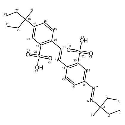 CCC(C)(CC)N=Nc1ccc(C=Cc2ccc(C(C)(CC)CC)cc2S(=O)(=O)O)c(S(=O)(=O)O)c1